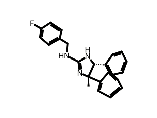 C[C@@]1(c2ccccc2)N=C(NCc2ccc(F)cc2)N[C@@H]1c1ccccc1